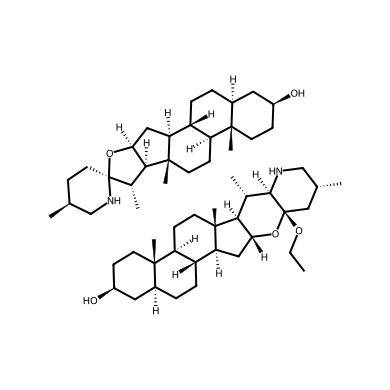 CCO[C@]12C[C@@H](C)CN[C@@H]1[C@@H](C)[C@H]1[C@@H](C[C@H]3[C@@H]4CC[C@H]5C[C@@H](O)CC[C@]5(C)[C@H]4CC[C@]13C)O2.C[C@H]1CC[C@]2(NC1)O[C@H]1C[C@H]3[C@@H]4CC[C@H]5C[C@@H](O)CC[C@]5(C)[C@H]4CC[C@]3(C)[C@H]1[C@@H]2C